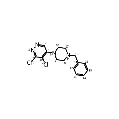 Clc1nncc(N2CCN(Cc3ccccc3)CC2)c1Cl